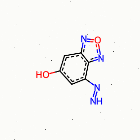 N=Nc1cc(O)cc2nonc12